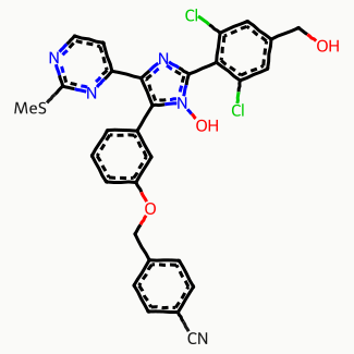 CSc1nccc(-c2nc(-c3c(Cl)cc(CO)cc3Cl)n(O)c2-c2cccc(OCc3ccc(C#N)cc3)c2)n1